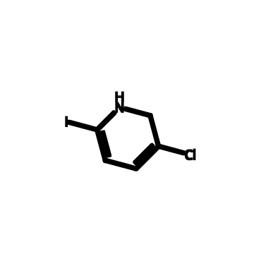 ClC1=CC=C(I)NC1